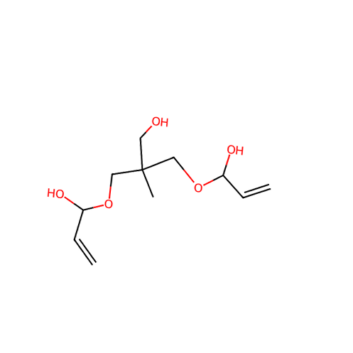 C=CC(O)OCC(C)(CO)COC(O)C=C